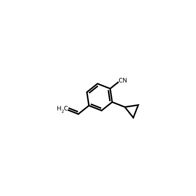 C=Cc1ccc(C#N)c(C2CC2)c1